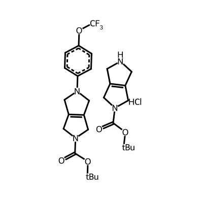 CC(C)(C)OC(=O)N1CC2=C(C1)CN(c1ccc(OC(F)(F)F)cc1)C2.CC(C)(C)OC(=O)N1CC2=C(CNC2)C1.Cl